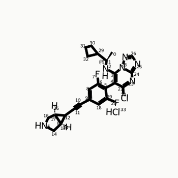 C[C@@H](Nc1c(-c2c(F)cc(C#CC3[C@H]4CNC[C@@H]34)cc2F)c(Cl)nc2ncnn12)C1CCC1.Cl